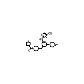 CN1CCN(c2cc(Nc3ncc(C#N)s3)nc(CC3CCN(C(=O)C4CCSS4)CC3)n2)CC1